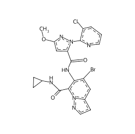 COc1cc(C(=O)Nc2c(Br)cc3ccnn3c2C(=O)NC2CC2)n(-c2ncccc2Cl)n1